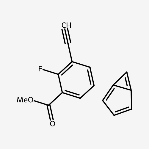 C#Cc1cccc(C(=O)OC)c1F.c1cc2cc-2c1